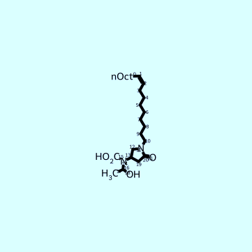 CCCCCCCC/C=C\CCCCCCCCN1CC(N(C(=O)O)C(C)O)CC1=O